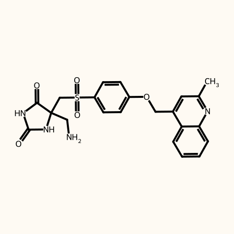 Cc1cc(COc2ccc(S(=O)(=O)CC3(CN)NC(=O)NC3=O)cc2)c2ccccc2n1